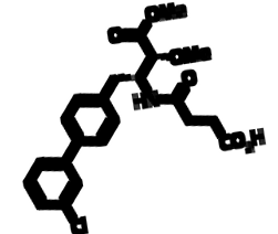 COC(=O)[C@H](OC)[C@@H](Cc1ccc(-c2cccc(Cl)c2)cc1)NC(=O)CCC(=O)O